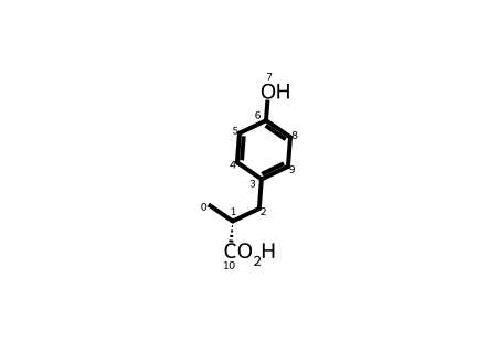 C[C@H](Cc1ccc(O)cc1)C(=O)O